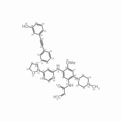 C=CC(=O)Nc1cc(Nc2cc(N3OCC[C@@H]3c3cccc(C#Cc4cccc(O)c4)c3)ncn2)c(OC)cc1N1CCN(C)CC1